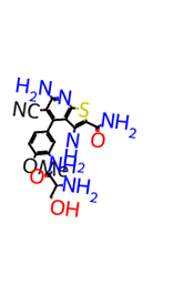 COc1ccc(-c2c(C#N)c(N)nc3sc(C(N)=O)c(N)c23)cc1NC(=O)[C@@H](N)CO